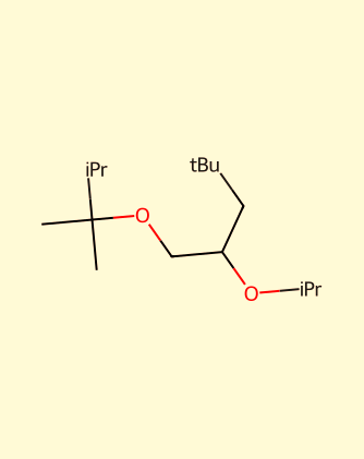 CC(C)OC(COC(C)(C)C(C)C)CC(C)(C)C